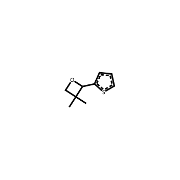 CC1(C)COC1c1cccs1